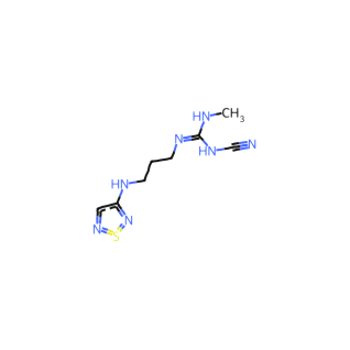 CNC(=NCCCNc1cnsn1)NC#N